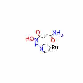 NC(=O)CCC(=O)NO.[Ru].c1ccncc1